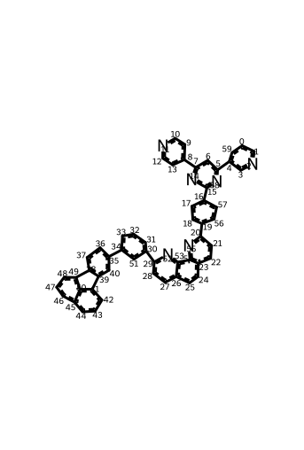 c1cncc(-c2cc(-c3ccncc3)nc(-c3ccc(-c4ccc5ccc6ccc(-c7cccc(-c8ccc9c(c8)-c8cccc%10cccc-9c8%10)c7)nc6c5n4)cc3)n2)c1